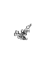 CCCC[C@H]1C(=O)N(C(CC)CC)C[C@H]2N1C(=O)CN(C)N2C(=O)NCc1ccc(F)cc1